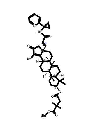 CC(C)C1=C2[C@H]3CC[C@@H]4[C@@]5(C)CC[C@H](OC(=O)CC(C)(C)C(=O)OC(C)(C)C)C(C)(C)[C@@H]5CC[C@@]4(C)[C@]3(C)CC[C@@]2(/C=C/C(=O)NC2(c3ccccn3)CC2)CC1=O